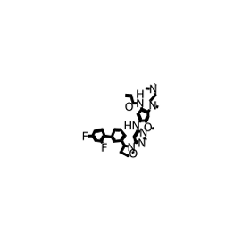 C=CC(=O)Nc1cc(Nc2cc(N3OCCC3c3cccc(-c4ccc(F)cc4F)c3)ncn2)c(OC)cc1N(C)CCN(C)C